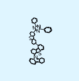 c1ccc(-c2nc(-c3ccccc3)nc(-c3ccc4sc5ccc(-c6cccc7sc8c(-n9c%10ccccc%10c%10ccccc%109)cccc8c67)cc5c4c3)n2)cc1